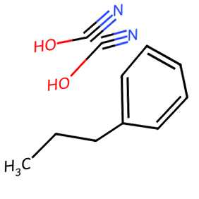 CCCc1ccccc1.N#CO.N#CO